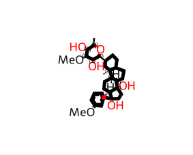 COc1cccc(C2(O)CC[C@@]3(O)[C@@H]4CCC5CCC([C@@H]6O[C@H](C)[C@@H](O)[C@H](OC)[C@H]6O)C[C@]5(C)[C@@H]4CC[C@]23C)c1